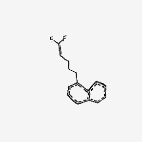 FC(F)=CCCCc1cccc2ccccc12